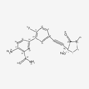 CN1CC[C@@](O)(C#Cc2ccc(F)c(-c3cnc(N)c(C(N)=O)n3)c2)C1=O